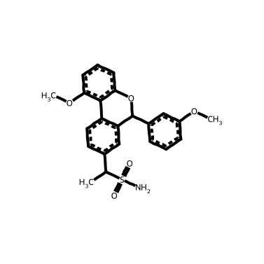 COc1cccc(C2Oc3cccc(OC)c3-c3ccc(C(C)S(N)(=O)=O)cc32)c1